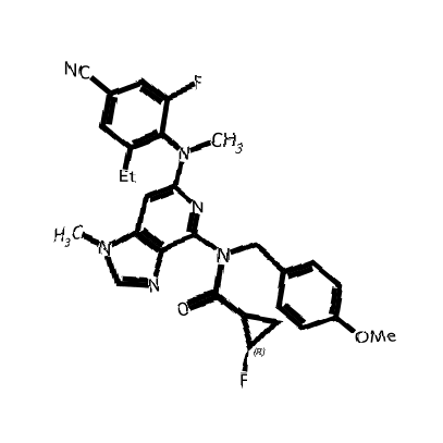 CCc1cc(C#N)cc(F)c1N(C)c1cc2c(ncn2C)c(N(Cc2ccc(OC)cc2)C(=O)C2C[C@H]2F)n1